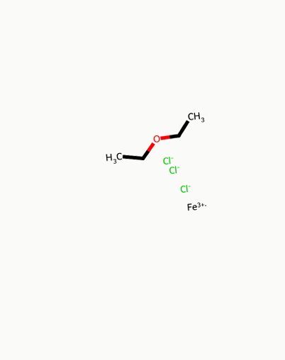 CCOCC.[Cl-].[Cl-].[Cl-].[Fe+3]